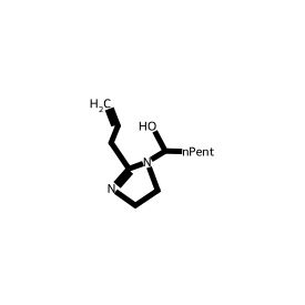 C=CCC1=NCCN1C(O)CCCCC